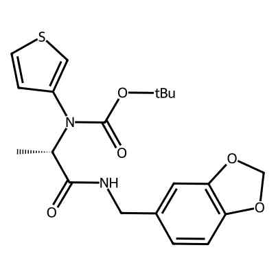 C[C@@H](C(=O)NCc1ccc2c(c1)OCO2)N(C(=O)OC(C)(C)C)c1ccsc1